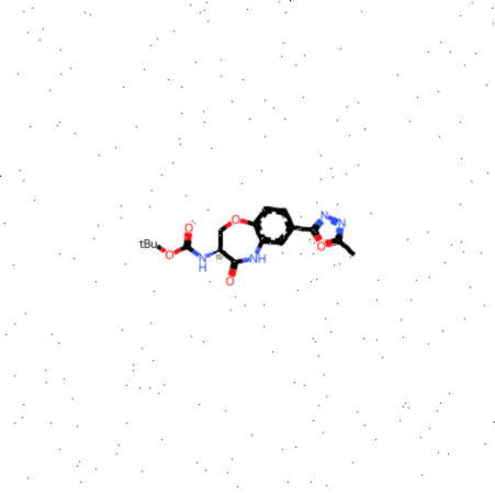 Cc1nnc(-c2ccc3c(c2)NC(=O)[C@@H](NC(=O)OC(C)(C)C)CO3)o1